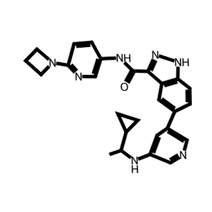 CC(Nc1cncc(-c2ccc3[nH]nc(C(=O)Nc4ccc(N5CCC5)nc4)c3c2)c1)C1CC1